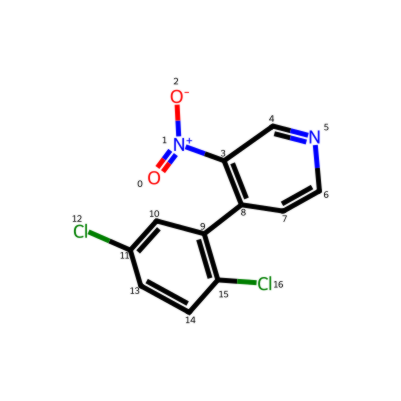 O=[N+]([O-])c1cnccc1-c1cc(Cl)ccc1Cl